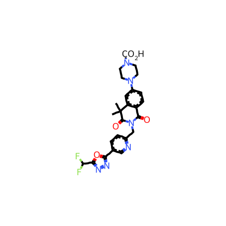 CC1(C)C(=O)N(Cc2ccc(-c3nnc(C(F)F)o3)cn2)C(=O)c2ccc(N3CCN(C(=O)O)CC3)cc21